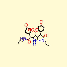 CCCNC(=O)C(c1ccc(OC)cc1)C1CNC(C(C(=O)NCCC)c2ccc(OC)cc2)C1C(=O)O